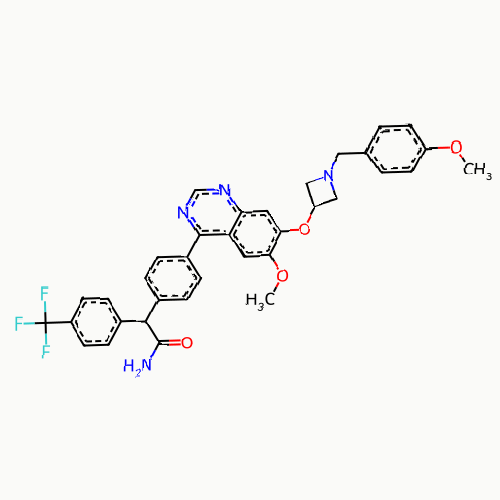 COc1ccc(CN2CC(Oc3cc4ncnc(-c5ccc(C(C(N)=O)c6ccc(C(F)(F)F)cc6)cc5)c4cc3OC)C2)cc1